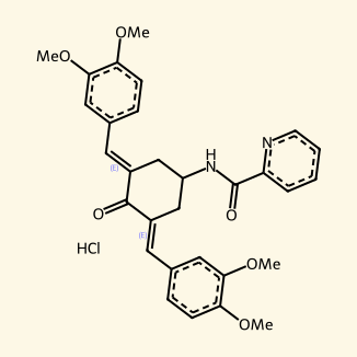 COc1ccc(/C=C2\CC(NC(=O)c3ccccn3)C/C(=C\c3ccc(OC)c(OC)c3)C2=O)cc1OC.Cl